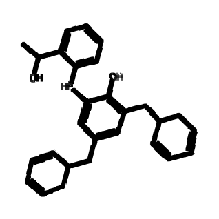 CC(O)c1ccccc1Pc1cc(CC2C=CC=CC2)cc(CC2C=CC=CC2)c1O